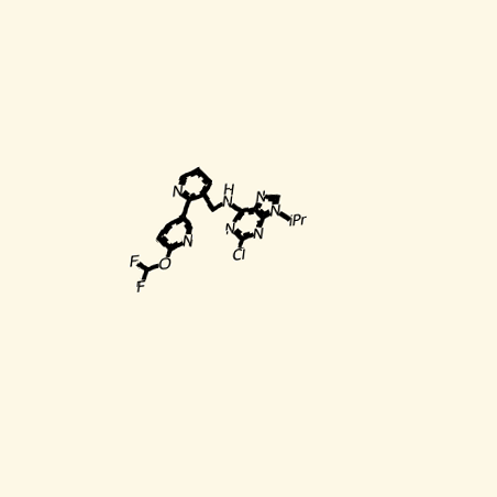 CC(C)n1cnc2c(NCc3cccnc3-c3ccc(OC(F)F)nc3)nc(Cl)nc21